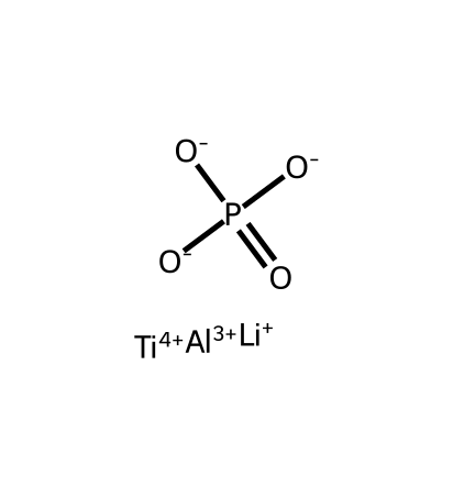 O=P([O-])([O-])[O-].[Al+3].[Li+].[Ti+4]